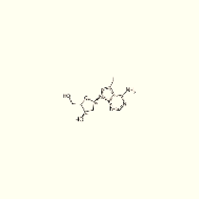 Nc1ncnc2c1c(I)cn2[C@H]1C[C@@H](O)C(CO)O1